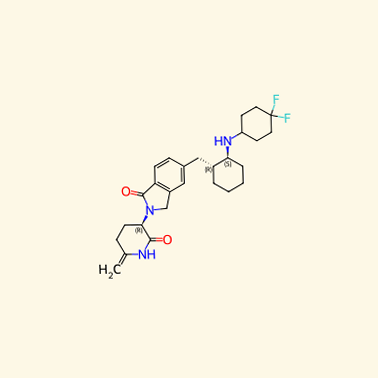 C=C1CC[C@@H](N2Cc3cc(C[C@H]4CCCC[C@@H]4NC4CCC(F)(F)CC4)ccc3C2=O)C(=O)N1